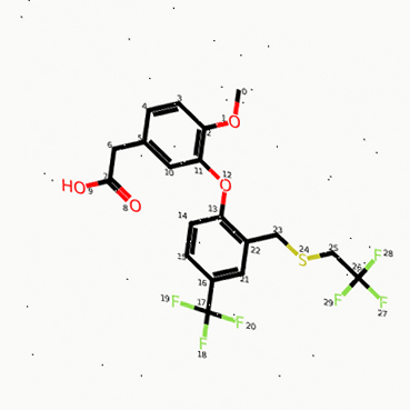 COc1ccc(CC(=O)O)cc1Oc1ccc(C(F)(F)F)cc1CSCC(F)(F)F